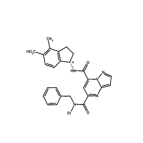 CCN(Cc1ccccc1)C(=O)c1cc(C(=O)N[C@H]2CCc3c2ccc(C(=O)O)c3C)n2nccc2n1